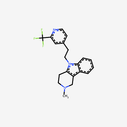 CN1CCc2c(c3ccccc3n2CCc2ccnc(C(F)(F)F)c2)C1